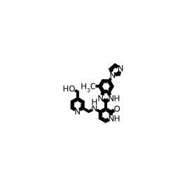 Cc1cc(-n2ccnc2)cc2[nH]c(-c3c(NCc4cc(CO)ccn4)cc[nH]c3=O)nc12